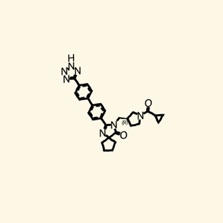 O=C(C1CC1)N1CC[C@@H](CN2C(=O)C3(CCCC3)N=C2c2ccc(-c3ccc(-c4nn[nH]n4)cc3)cc2)C1